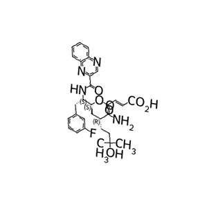 CC(C)(O)CC[C@H](C[C@H](OC(=O)C=CC(=O)O)[C@H](Cc1cccc(F)c1)NC(=O)c1cnc2ccccc2n1)C(N)=O